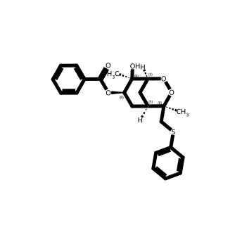 C[C@]1(O)[C@@H]2C[C@H](C[C@H]1OC(=O)c1ccccc1)[C@](C)(CSc1ccccc1)OO2